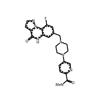 CNC(=O)c1ccc(N2CCN(Cc3cc(F)c4c(c3)[nH]c(=O)c3ccnn34)CC2)cn1